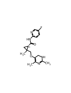 CC1=NC(C)=C(OCC2(C)C[C@H]2C(=O)Nc2ccc(F)cn2)CN1